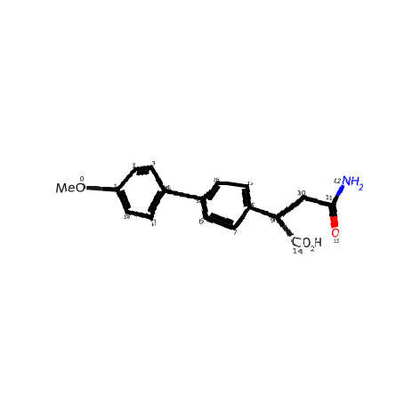 COc1ccc(-c2ccc(C(CC(N)=O)C(=O)O)cc2)cc1